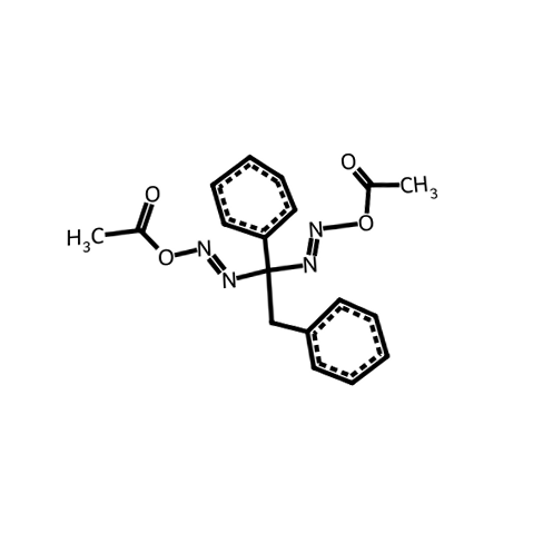 CC(=O)ON=NC(Cc1ccccc1)(N=NOC(C)=O)c1ccccc1